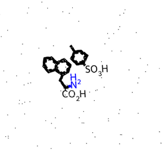 Cc1ccc(S(=O)(=O)O)cc1.N[C@@H](Cc1cccc2ccccc12)C(=O)O